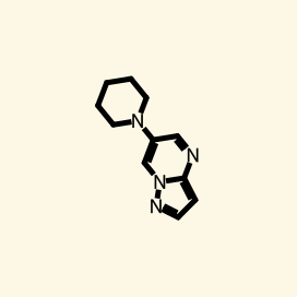 c1cc2ncc(N3CCCCC3)cn2n1